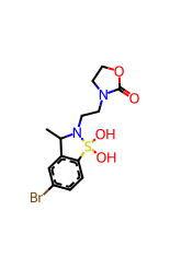 CC1c2cc(Br)ccc2S(O)(O)N1CCN1CCOC1=O